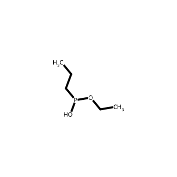 CCCP(O)OCC